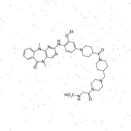 CCOc1cc(N2CCC(C(=O)N3CCC(CN4CCN(C(=O)CNC(=O)O)CC4)CC3)CC2)ccc1Nc1ncc2c(n1)N(C)c1ccccc1C(=O)N2C